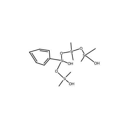 C[Si](C)(O)O[Si](C)(C)O[Si](O)(O[Si](C)(C)O)c1ccccc1